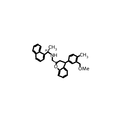 COCc1cc(C2C[C@H](CN[C@H](C)c3cccc4ccccc34)Oc3ccccc32)ccc1C